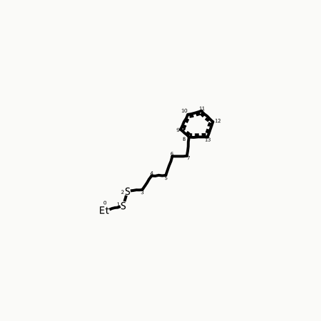 CCSSCCCCCc1ccccc1